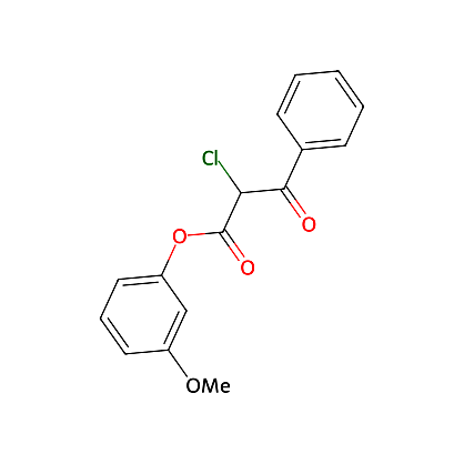 COc1cccc(OC(=O)C(Cl)C(=O)c2ccccc2)c1